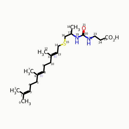 CC(C)=CCC/C(C)=C/CC/C(C)=C/CSCC(C)NC(=O)NCCC(=O)O